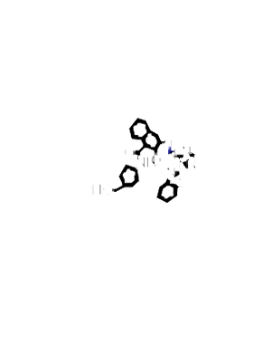 O=C(Nc1ccc(CO)cc1)c1c(O)c(/N=N/c2ncnn2-c2nc3ccccc3s2)cc2ccccc12